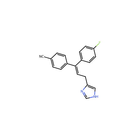 N#Cc1ccc(C(=CCc2c[nH]cn2)c2ccc(F)cc2)cc1